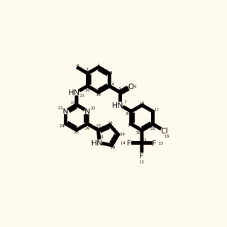 Cc1ccc(C(=O)NC2=CC(C(F)(F)F)=C(Cl)CC2)cc1Nc1nccc(-c2ccc[nH]2)n1